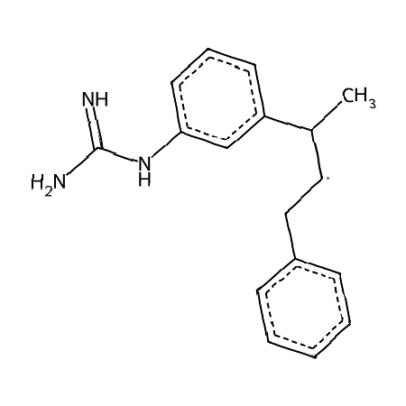 CC([CH]Cc1ccccc1)c1cccc(NC(=N)N)c1